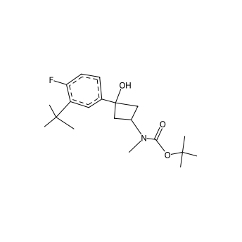 CN(C(=O)OC(C)(C)C)C1CC(O)(c2ccc(F)c(C(C)(C)C)c2)C1